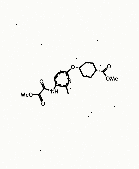 COC(=O)C(=O)Nc1ccc(O[C@H]2CC[C@@H](C(=O)OC)CC2)nc1C